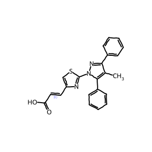 Cc1c(-c2ccccc2)nn(-c2nc(/C=C/C(=O)O)cs2)c1-c1ccccc1